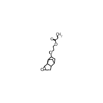 C=CC(=O)OCCOC1CC2CC1C1C2CC2OC21